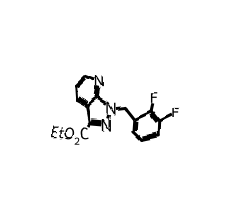 CCOC(=O)c1nn(Cc2cccc(F)c2F)c2ncccc12